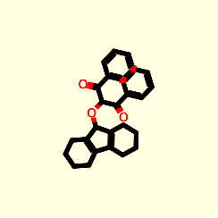 O=C(c1ccccc1)C(OC1C2=C(CCCC2)C2=C1CCCC2)C(=O)c1ccccc1